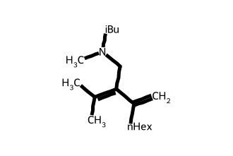 C=C(CCCCCC)C(CN(C)C(C)CC)=C(C)C